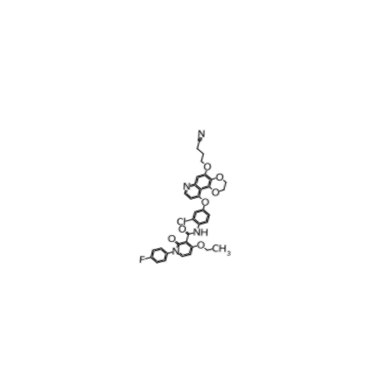 CCOc1ccn(-c2ccc(F)cc2)c(=O)c1C(=O)Nc1ccc(Oc2ccnc3cc(OCCCC#N)c4c(c23)OCCO4)cc1Cl